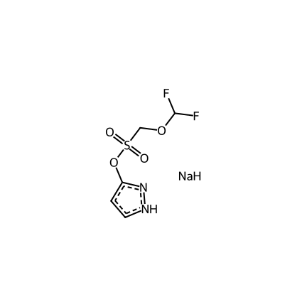 O=S(=O)(COC(F)F)Oc1cc[nH]n1.[NaH]